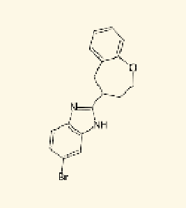 Brc1ccc2nc(C3CCOc4ccccc4C3)[nH]c2c1